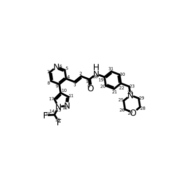 O=C(C=Cc1cnccc1-c1cnn(C(F)F)c1)Nc1ccc(CN2CCOCC2)cc1